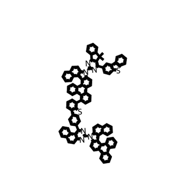 CC1(C)c2ccccc2-c2nc(-n3c4ccc5ccccc5c4c4c5c6ccccc6c6c(-c7cccc8c7sc7cc(-c9nc(-n%10c%11ccc%12ccccc%12c%11c%11c%12c%13ccccc%13c%13ccccc%13c%12ccc%11%10)nc%10ccc%11ccccc%11c9%10)ccc78)cccc6c5ccc43)nc(-c3ccc4sc5ccccc5c4c3)c21